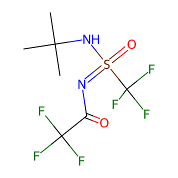 CC(C)(C)NS(=O)(=NC(=O)C(F)(F)F)C(F)(F)F